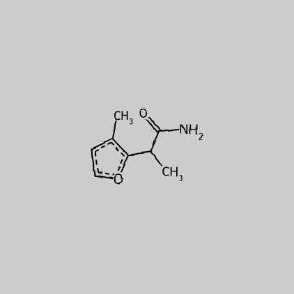 Cc1ccoc1C(C)C(N)=O